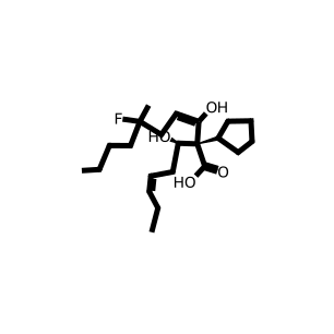 CC/C=C\C[C@@H](O)[C@@](C(=O)O)(/C(O)=C\CC(C)(F)CCCC)C1CCCC1